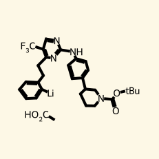 CC(=O)O.[Li][c]1ccccc1CCc1nc(Nc2ccc(C3CCCN(C(=O)OC(C)(C)C)C3)cc2)ncc1C(F)(F)F